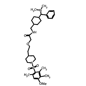 COc1cc(C)c(S(=O)(=O)N2CCC(CCOCC(=O)NCC3CCC(C(c4ccccc4)N(C)C)CC3)CC2)c(C)c1C